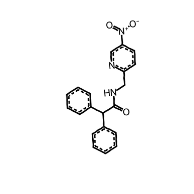 O=C(NCc1ccc([N+](=O)[O-])cn1)C(c1ccccc1)c1ccccc1